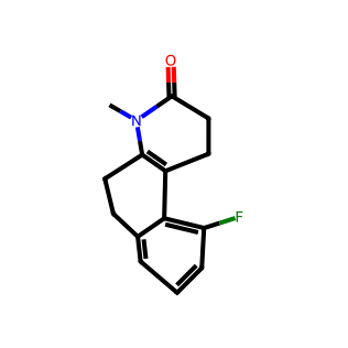 CN1C(=O)CCC2=C1CCc1cccc(F)c12